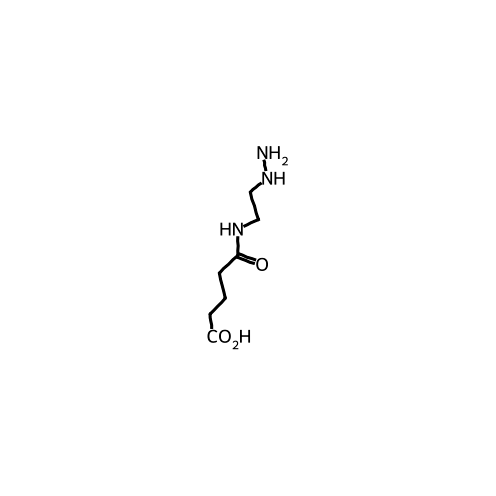 NNCCNC(=O)CCCC(=O)O